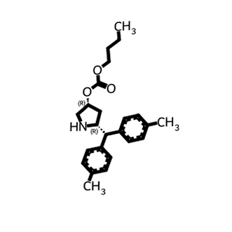 CCCCOC(=O)O[C@H]1CN[C@@H](C(c2ccc(C)cc2)c2ccc(C)cc2)C1